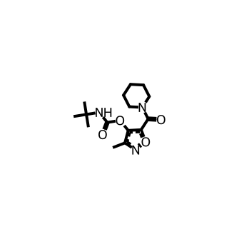 Cc1noc(C(=O)N2CCCCC2)c1OC(=O)NC(C)(C)C